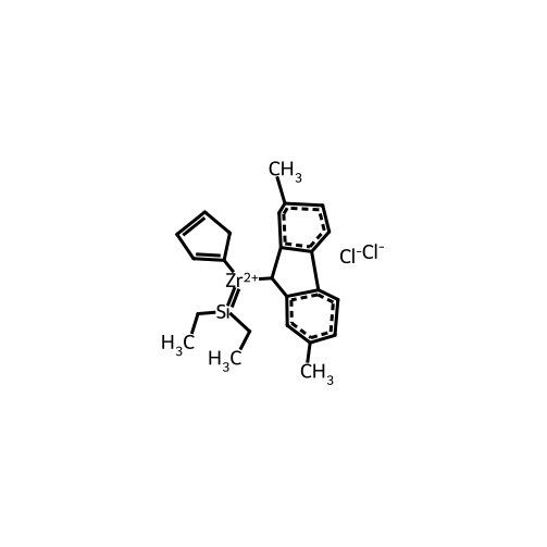 CC[Si](CC)=[Zr+2]([C]1=CC=CC1)[CH]1c2cc(C)ccc2-c2ccc(C)cc21.[Cl-].[Cl-]